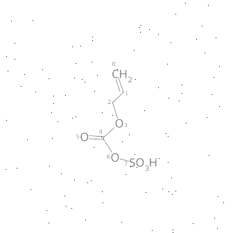 C=CCOC(=O)OS(=O)(=O)O